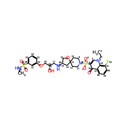 CCn1cc(S(=O)(=O)N2CCC3(CC2)C[C@@H](NC[C@H](O)COc2cccc(S(=O)(=O)NC)c2)CO3)c(=O)c2cccc(F)c21